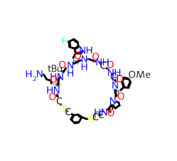 COc1ccc(C[C@H]2NC(=O)CNC(=O)CNC(=O)CNC(=O)[C@@H](Cc3c[nH]c4ccc(F)cc34)NC(=O)C(C(C)(C)C)NC(=O)[C@@H](CCCCN)NC(=O)CCSCc3cccc(c3)CSCCNC(=O)[C@@]3(C)CCCN3C2=O)cc1